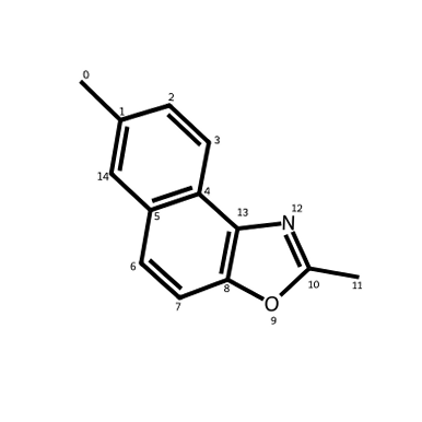 Cc1ccc2c(ccc3oc(C)nc32)c1